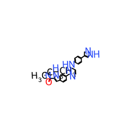 Cc1c(-c2nccc(Nc3ccc(-c4cn[nH]c4)cc3)n2)ccc2cc(C(=O)N(C)C)[nH]c12